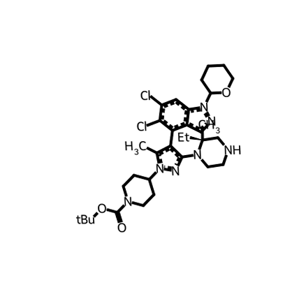 CC[C@@]1(C)CNCCN1c1nn(C2CCN(C(=O)OC(C)(C)C)CC2)c(C)c1-c1c(Cl)c(Cl)cc2c1cnn2C1CCCCO1